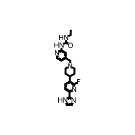 CCNC(=O)Nc1cc(CN2CCC(c3ccc(-c4ncc[nH]4)nc3F)CC2)ccn1